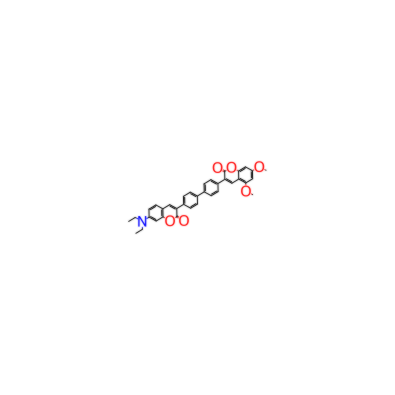 CCN(CC)c1ccc2cc(-c3ccc(-c4ccc(-c5cc6c(OC)cc(OC)cc6oc5=O)cc4)cc3)c(=O)oc2c1